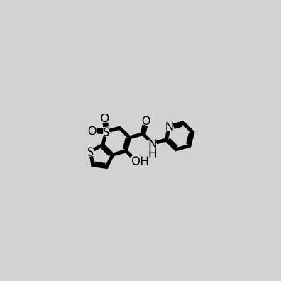 O=C(Nc1ccccn1)C1=C(O)c2ccsc2S(=O)(=O)C1